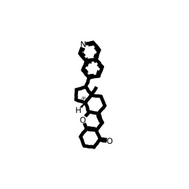 CC12CCC3=CC4=C(CCCC4=O)OC3[C@@H]1CCC2c1ccc2ccncc2c1